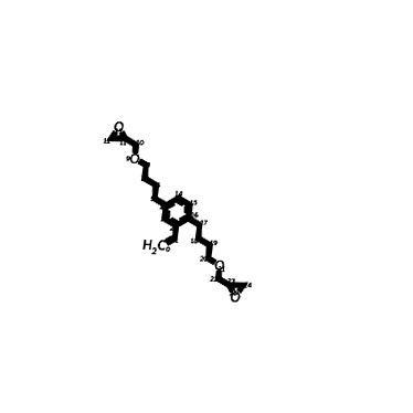 C=Cc1cc(CCCCOCC2CO2)ccc1CCCCOCC1CO1